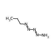 CCCN=NN=NN